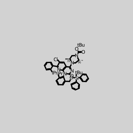 CC(C)c1ccccc1-c1nc2c(cc1Cl)c(N1C[C@@H](C)N(C(=O)OC(C)(C)C)C[C@@H]1C)nc(=O)n2-c1c(CO[Si](c2ccccc2)(c2ccccc2)C(C)(C)C)cccc1C(C)C